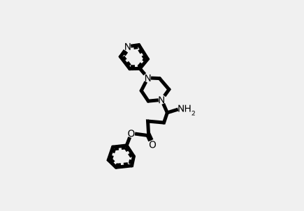 NC(CCC(=O)Oc1ccccc1)N1CCN(c2ccncc2)CC1